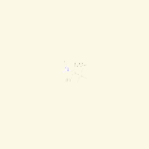 CN[Si](C(C)C)(N(C)Cl)[Si](C)(C)C